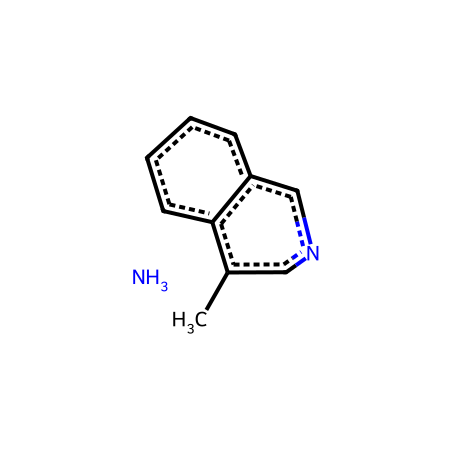 Cc1cncc2ccccc12.N